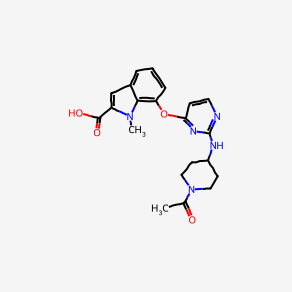 CC(=O)N1CCC(Nc2nccc(Oc3cccc4cc(C(=O)O)n(C)c34)n2)CC1